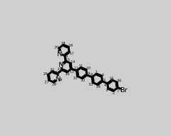 Brc1ccc(-c2ccc(-c3ccc(-c4cc(-c5ccccn5)nc(-c5ccccn5)c4)cc3)cc2)cc1